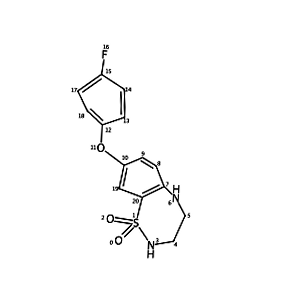 O=S1(=O)NCCNc2ccc(Oc3ccc(F)cc3)cc21